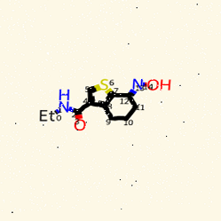 CCNC(=O)c1csc2c1CCCC2=NO